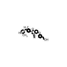 Cc1cc(N(CN=[N+]=[N-])C(=O)[C@H]2CC[C@H](Oc3cccc(CCO)c3)CC2)ccc1CN1CCN[C@@H](C)C1